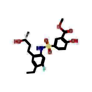 CCc1cc(CC[C@@H](C)O)c(NS(=O)(=O)c2ccc(O)c(C(=O)OC)c2)cc1F